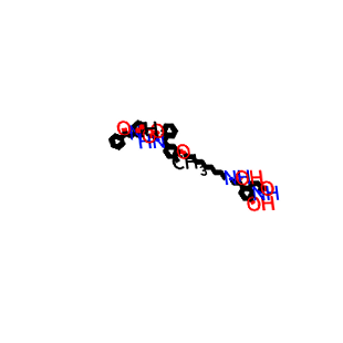 Cc1ccc(C(NC(=O)O[C@H]2C[N+]3(CC(=O)c4ccccc4)CCC2CC3)c2ccccc2)cc1OCCCCCCCCCNC[C@H](O)c1ccc(O)c2[nH]c(=O)ccc12